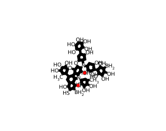 Bc1c(O)c(O)c(O)c(-c2c(O)cc(N3c4cc(O)c(-c5c(O)c(O)c(O)c(O)c5O)cc4Oc4c3c(O)c3c(c4O)c4c(-c5cc(O)c(O)c(O)c5C)cc5c(O)c(S)c(B)c(C)c5c4n3-c3cc(C)c(O)c(O)c3O)c(O)c2O)c1O